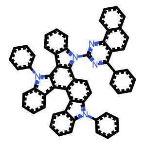 c1ccc(-c2nc(-n3c4ccccc4c4c3c3ccc5c(c6ccccc6n5-c5ccccc5)c3c3c5ccccc5n(-c5ccccc5)c34)nc3c2ccc2ccccc23)cc1